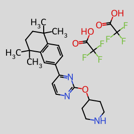 CC1(C)CCC(C)(C)c2cc(-c3ccnc(OC4CCNCC4)n3)ccc21.O=C(O)C(F)(F)F.O=C(O)C(F)(F)F